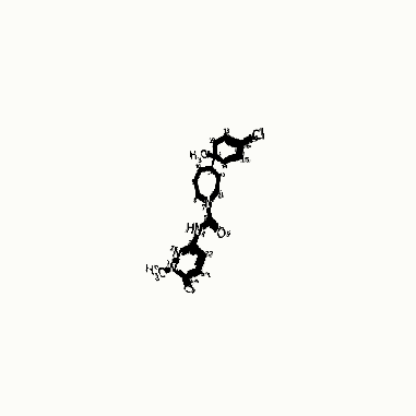 Cn1nc(NC(=O)N2CCC[C@@H](C3(C)C=CC(Cl)=CC3)CC2)ccc1=O